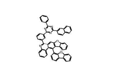 c1ccc(-c2nc(-c3cccc(-c4nc5ccccc5c5c(-c6cccc7c6oc6ccccc67)c6c(cc45)oc4ccccc46)c3)nc(-c3ccc4ccccc4c3)n2)cc1